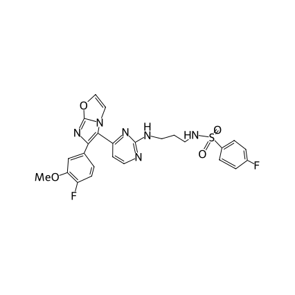 COc1cc(-c2nc3occn3c2-c2ccnc(NCCCNS(=O)(=O)c3ccc(F)cc3)n2)ccc1F